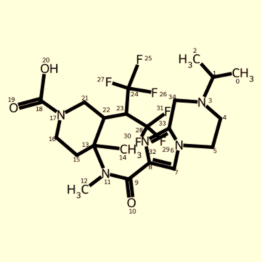 CC(C)N1CCn2cc(C(=O)N(C)C3(C)CCN(C(=O)O)CC3C(C(F)(F)F)C(F)(F)F)nc2C1